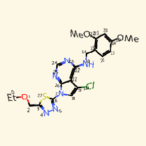 CCOCc1nnc(-n2cc(Cl)c3c(NCc4ccc(OC)cc4OC)ncnc32)s1